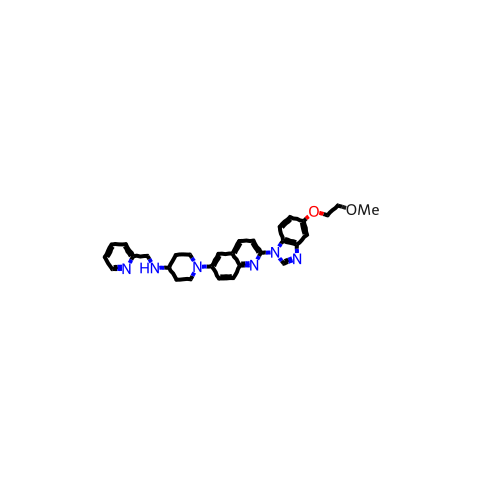 COCCOc1ccc2c(c1)ncn2-c1ccc2cc(N3CCC(NCc4ccccn4)CC3)ccc2n1